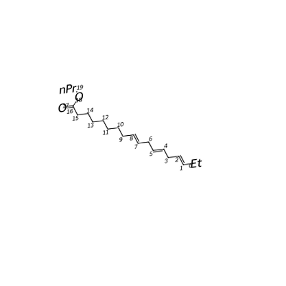 CCC=CCC=CCC=CCCCCCCCC(=O)OCCC